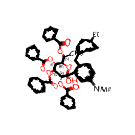 CCc1ccc(Cc2ccc(NC)cc2[C@@]2(O)O[C@H]([C@H](C)OC(=O)c3ccccc3)[C@@H](OC(=O)c3ccccc3)[C@H](OC(=O)c3ccccc3)[C@H]2OC(=O)c2ccccc2)cc1